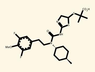 COc1c(F)cc(CCN(C(=O)NC2=NCC(SC(C)(C)C(=O)O)S2)[C@H]2CC[C@H](C)CC2)cc1F